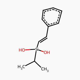 CC(C)[Si](O)(O)/C=C/c1ccccc1